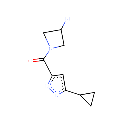 NC1CN(C(=O)c2cc(C3CC3)[nH]n2)C1